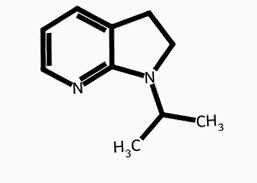 CC(C)N1CCc2cccnc21